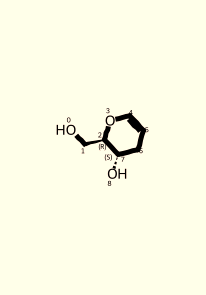 OC[C@H]1OC=CC[C@@H]1O